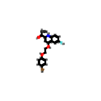 COC(=O)c1cc(OCCOc2ccc(Br)cc2)c2cc(F)ccc2n1